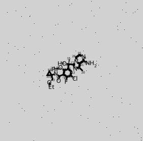 CCOCC1(NC(=O)c2c(F)c(Cl)cc([C@](C)(O)c3nc(C)c4c(N)nccn34)c2OC(C)C)CC1